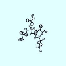 C=CC(=O)OCC(COCCC(C)(C)OCC)(COC(=O)C=C)COC(=O)C=C